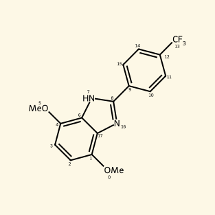 COc1ccc(OC)c2[nH]c(-c3ccc(C(F)(F)F)cc3)nc12